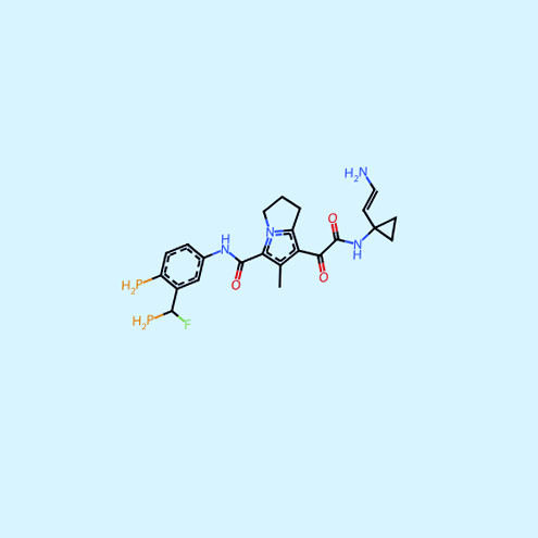 Cc1c(C(=O)C(=O)NC2(/C=C/N)CC2)c2n(c1C(=O)Nc1ccc(P)c(C(F)P)c1)CCC2